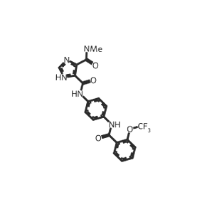 CNC(=O)c1nc[nH]c1C(=O)Nc1ccc(NC(=O)c2ccccc2OC(F)(F)F)cc1